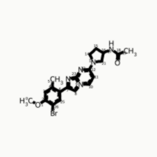 COc1cc(C)c(-c2cn3ccc(N4CCC(NC(C)=O)C4)nc3n2)cc1Br